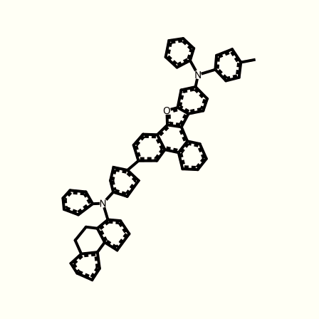 Cc1ccc(N(c2ccccc2)c2ccc3c(c2)oc2c4ccc(-c5ccc(N(c6ccccc6)c6cccc7c6CCc6ccccc6-7)cc5)cc4c4ccccc4c32)cc1